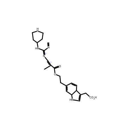 C=N/C(=N\C=C(/C)C(=O)OCCC1=CC2NC=C(CC(=O)O)C2C=C1)NC1CCNCC1